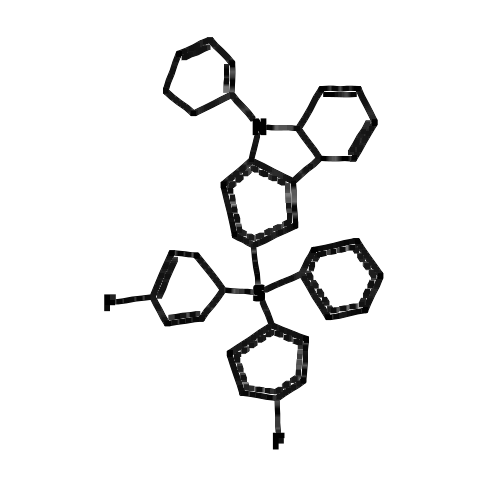 FC1=CCC(S(c2ccccc2)(c2ccc(F)cc2)c2ccc3c(c2)C2C=CC=CC2N3C2=CC=CCC2)C=C1